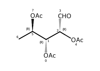 CC(=O)O[C@@H]([C@H](C=O)OC(C)=O)[C@@H](C)OC(C)=O